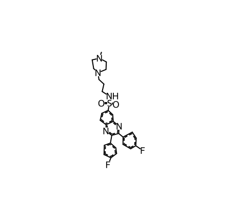 CN1CCN(CCCNS(=O)(=O)c2ccc3nc(-c4ccc(F)cc4)c(-c4ccc(F)cc4)nc3c2)CC1